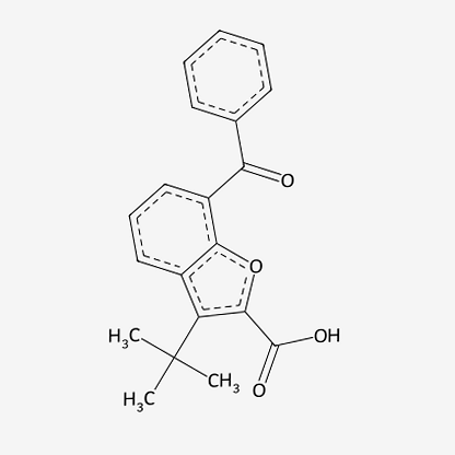 CC(C)(C)c1c(C(=O)O)oc2c(C(=O)c3ccccc3)cccc12